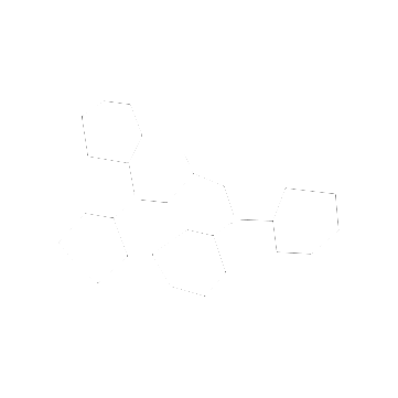 CC(CP(C1CCCCC1)C1CCCCC1)CP(C1CCCCC1)C1CCCCC1